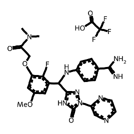 COc1cc(OCC(=O)N(C)C)c(F)c(C(Nc2ccc(C(=N)N)cc2)c2nn(-c3cnccn3)c(=O)[nH]2)c1.O=C(O)C(F)(F)F